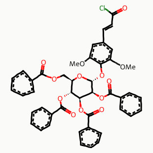 COc1cc(/C=C/C(=O)Cl)cc(OC)c1O[C@H]1O[C@H](COC(=O)c2ccccc2)[C@@H](OC(=O)c2ccccc2)[C@H](OC(=O)c2ccccc2)[C@@H]1OC(=O)c1ccccc1